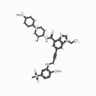 COc1ccc(S(C)(=O)=O)cc1NCC#Cc1cc(C(=O)N[C@H]2CCN(C3CCC(OC)CC3)C[C@@H]2C)c2ncn(CC(F)(F)F)c2c1